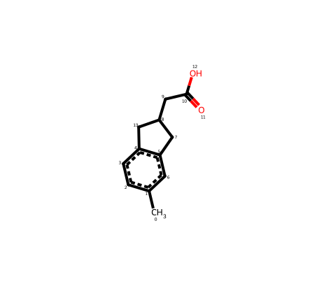 Cc1ccc2c(c1)CC(CC(=O)O)C2